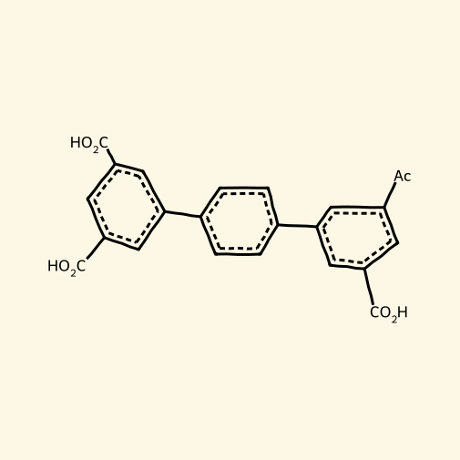 CC(=O)c1cc(C(=O)O)cc(-c2ccc(-c3cc(C(=O)O)cc(C(=O)O)c3)cc2)c1